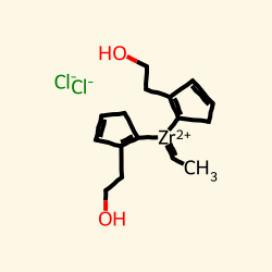 C[CH]=[Zr+2]([C]1=C(CCO)C=CC1)[C]1=C(CCO)C=CC1.[Cl-].[Cl-]